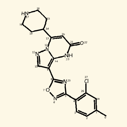 Cc1ccc(-c2noc(-c3cnn4c(C5CCNCC5)cc(=O)[nH]c34)n2)c(Cl)c1